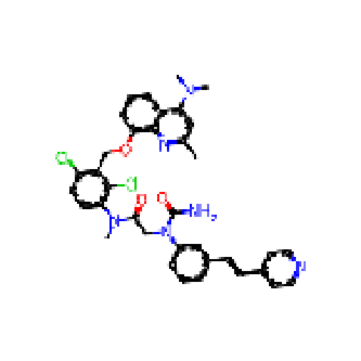 Cc1cc(N(C)C)c2cccc(OCc3c(Cl)ccc(N(C)C(=O)CN(C(N)=O)c4cccc(/C=C/c5ccncc5)c4)c3Cl)c2n1